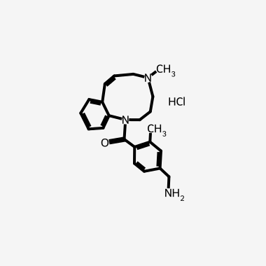 Cc1cc(CN)ccc1C(=O)N1CCCN(C)CC=Cc2ccccc21.Cl